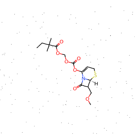 CCC(C)(C)C(=O)OCOC(=O)OC1=CCS[C@H]2C(COC)C(=O)N12